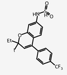 CCC1(I)C=C(c2ccc(C(F)(F)F)cc2)c2ccc(N[SH](=O)=O)cc2O1